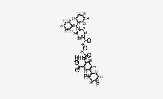 O=C(COCC(=O)N1CCN(C(c2ccccc2)c2ccccc2)CC1)Nc1ccc(-c2ccc(F)cc2F)cc1C(=O)O